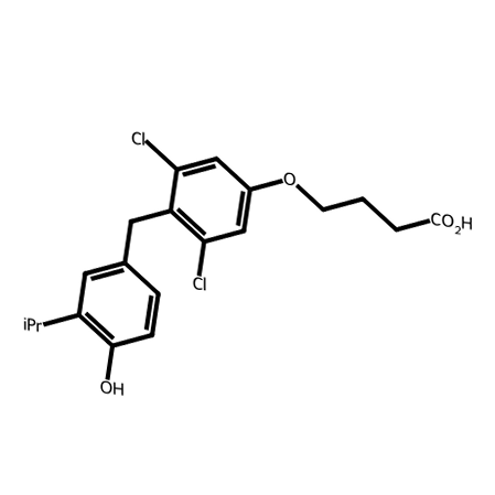 CC(C)c1cc(Cc2c(Cl)cc(OCCCC(=O)O)cc2Cl)ccc1O